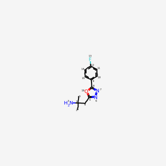 CC(C)(N)Cc1nnc(-c2ccc(F)cc2)o1